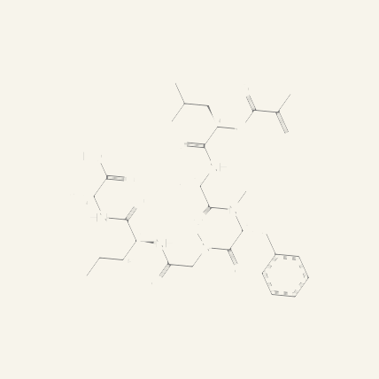 C=C(C)C(=O)O[C@H](CC(C)C)C(=O)N[C@@H](C)C(=O)N(C)[C@H](Cc1ccccc1)C(=O)N(C)CC(=O)N[C@H](C(=O)N[C@H](C)C(=O)O)[C@H](C)CC